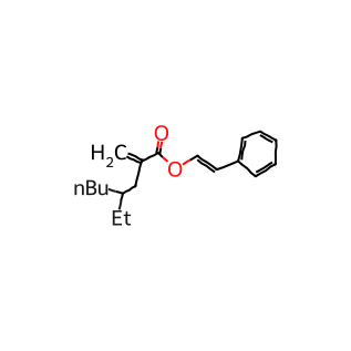 C=C(CC(CC)CCCC)C(=O)OC=Cc1ccccc1